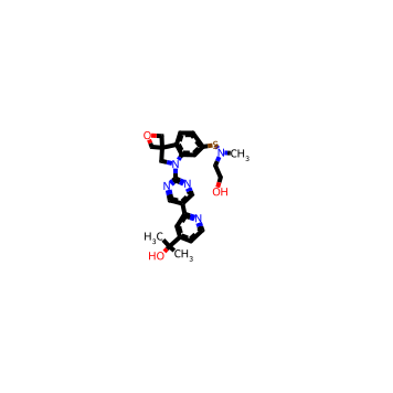 CN(CCO)Sc1ccc2c(c1)N(c1ncc(-c3cc(C(C)(C)O)ccn3)cn1)CC21COC1